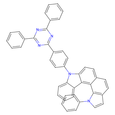 c1ccc(-c2nc(-c3ccccc3)nc(-c3ccc(-n4c5ccccc5c5c6c(ccc7ccn(-c8ccccc8)c76)ccc54)cc3)n2)cc1